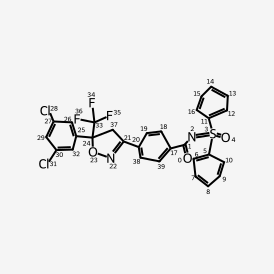 O=C(N=S(=O)(c1ccccc1)c1ccccc1)c1ccc(C2=NOC(c3cc(Cl)cc(Cl)c3)(C(F)(F)F)C2)cc1